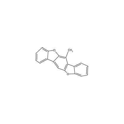 Cc1c2oc3ccccc3c2cc2oc3ccccc3c12